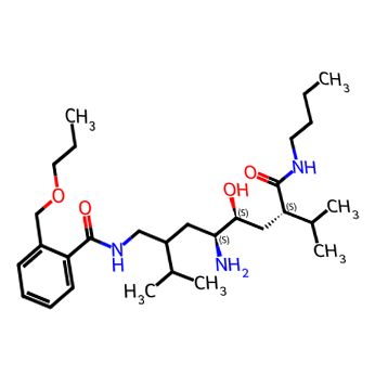 CCCCNC(=O)[C@@H](C[C@H](O)[C@@H](N)CC(CNC(=O)c1ccccc1COCCC)C(C)C)C(C)C